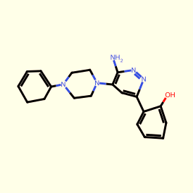 Nc1nnc(-c2ccccc2O)cc1N1CCN(C2=CC=CCC2)CC1